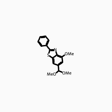 COc1cc(C(OC)OC)cc2sc(-c3ccccc3)nc12